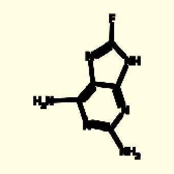 Nc1nc(N)c2nc(F)[nH]c2n1